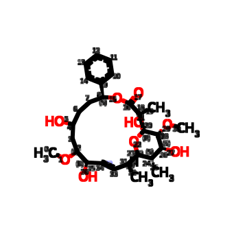 CO[C@H]1CC(O)CC[C@@H](c2ccccc2)OC(=O)[C@@H](C)[C@@]2(O)O[C@H]([C@@H](C)[C@H](O)[C@H]2OC)[C@@H](C)/C=C/[C@H]1O